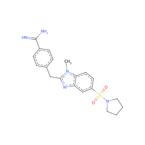 Cn1c(Cc2ccc(C(=N)N)cc2)nc2cc(S(=O)(=O)N3CCCC3)ccc21